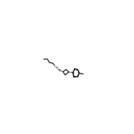 CCCCCCO[C@H]1C[C@@H](c2ccc(C)cc2)C1